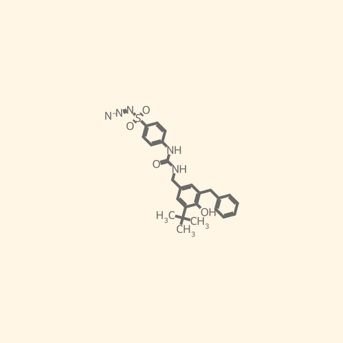 CC(C)(C)c1cc(CNC(=O)Nc2ccc(S(=O)(=O)N=[N+]=[N-])cc2)cc(Cc2ccccc2)c1O